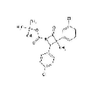 CC(C)(C)OC(=O)N1C(=O)C(C)(c2cccc(Cl)c2)C1c1ccc(Cl)cc1